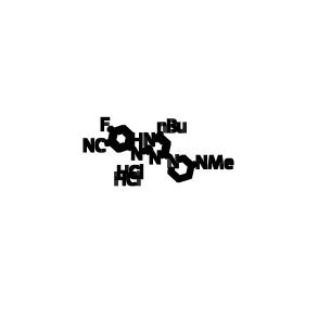 CCCCc1cc(N2CCCC(NC)C2)nc(Nc2ccc(F)c(C#N)c2)n1.Cl.Cl